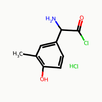 Cc1cc(C(N)C(=O)Cl)ccc1O.Cl